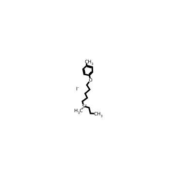 CCC[S+](C)CCCCCOc1ccc(C)cc1.[I-]